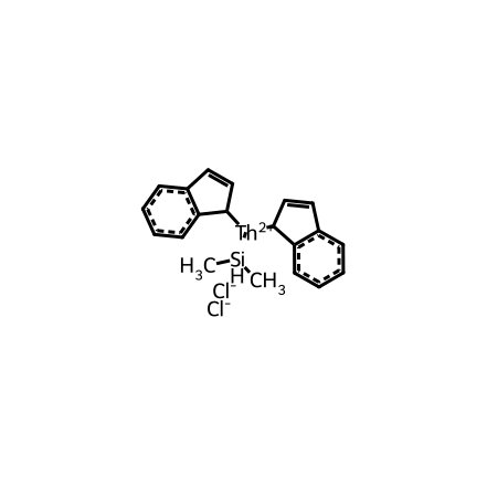 C[SiH](C)[Th+2]([CH]1C=Cc2ccccc21)[CH]1C=Cc2ccccc21.[Cl-].[Cl-]